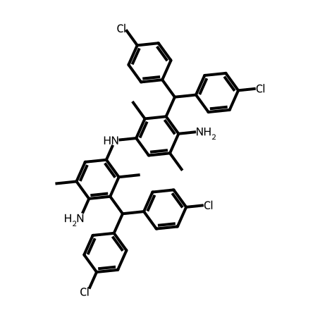 Cc1cc(Nc2cc(C)c(N)c(C(c3ccc(Cl)cc3)c3ccc(Cl)cc3)c2C)c(C)c(C(c2ccc(Cl)cc2)c2ccc(Cl)cc2)c1N